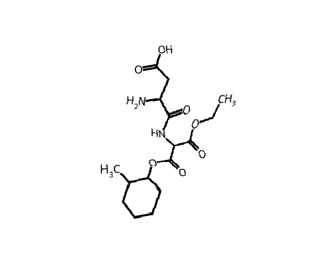 CCOC(=O)C(NC(=O)C(N)CC(=O)O)C(=O)OC1CCCCC1C